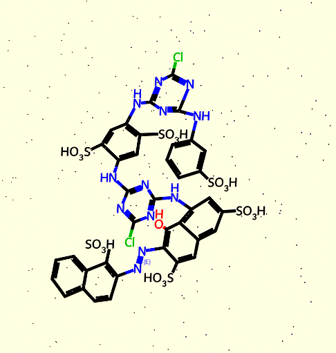 O=S(=O)(O)c1cccc(Nc2nc(Cl)nc(Nc3cc(S(=O)(=O)O)c(Nc4nc(Cl)nc(Nc5cc(S(=O)(=O)O)cc6cc(S(=O)(=O)O)c(/N=N/c7ccc8ccccc8c7S(=O)(=O)O)c(O)c56)n4)cc3S(=O)(=O)O)n2)c1